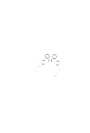 COc1nc(-c2cccc(-c3cccc(-c4cnc(CN[C@@H]5CC[C@@H](O)C5)c(OC)n4)c3Cl)c2Cl)cnc1CNC[C@@H]1CCC(=O)N1